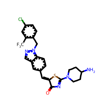 NC1CCN(C2=NC(=O)/C(=C/c3ccc4c(cnn4Cc4ccc(Cl)cc4C(F)(F)F)c3)S2)CC1